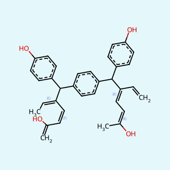 C=C/C(=C\C=C(/C)O)C(c1ccc(O)cc1)c1ccc(C(C(/C=C\C(=C)O)=C/C)c2ccc(O)cc2)cc1